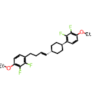 CCOc1ccc(CCC=C[C@H]2CC[C@H](c3ccc(OCC)c(F)c3F)CC2)c(F)c1F